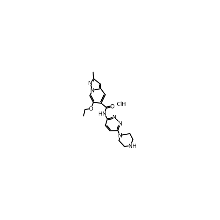 CCOc1cn2nc(C)cc2cc1C(=O)Nc1ccc(N2CCNCC2)nn1.Cl